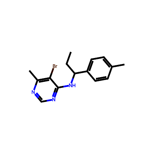 CCC(Nc1ncnc(C)c1Br)c1ccc(C)cc1